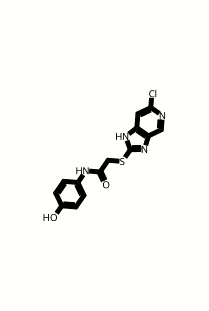 O=C(CSc1nc2cnc(Cl)cc2[nH]1)Nc1ccc(O)cc1